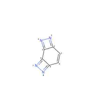 c1cc2nnc2c2nnc12